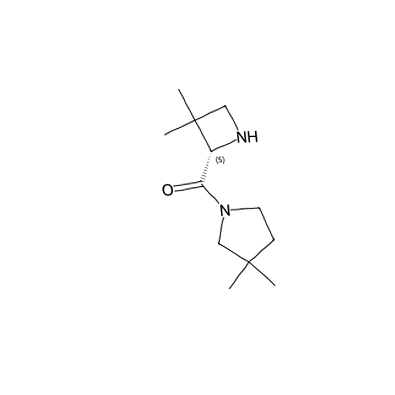 CC1(C)CCN(C(=O)[C@H]2NCC2(C)C)C1